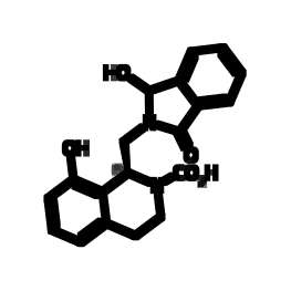 O=C1c2ccccc2C(O)N1C[C@@H]1c2c(O)cccc2CCN1C(=O)O